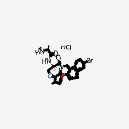 CN[C@@H](C)C(=O)N[C@H]1COc2c(C)cccc2N(Cc2c(OC)ccc3cc(Br)ccc23)C1=O.Cl